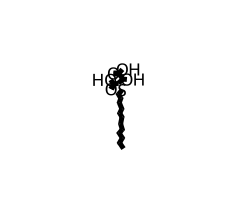 CCCCCCCCCCCCSC(C(=O)O)C(O)C(=O)O